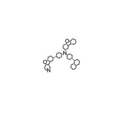 c1ccc2c(-c3ccc(N(c4ccc(-c5ccc6oc7ccncc7c6c5)cc4)c4ccc5oc6ccccc6c5c4)cc3)cccc2c1